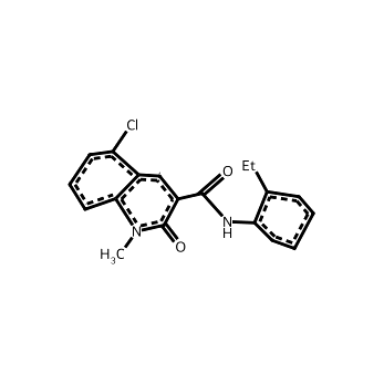 CCc1ccccc1NC(=O)c1[c]c2c(Cl)cccc2n(C)c1=O